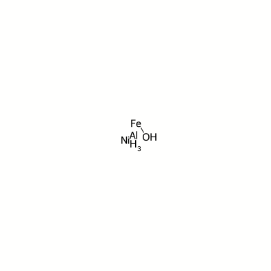 [AlH3].[Ni].[OH][Fe]